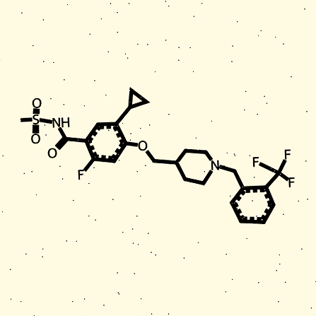 CS(=O)(=O)NC(=O)c1cc(C2CC2)c(OCC2CCN(Cc3ccccc3C(F)(F)F)CC2)cc1F